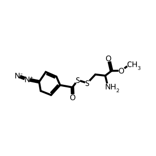 COC(=O)C(N)CSSC(=O)C1=CCC(=[N+]=[N-])C=C1